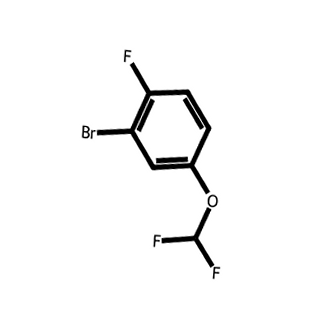 Fc1ccc(OC(F)F)cc1Br